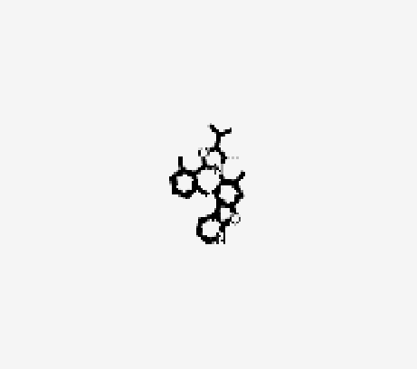 Cc1cc2oc3ncccc3c2cc1N1C(c2c(C)cccc2C)OC(C(C)C)[C@@H]1C